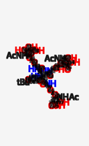 CC(=O)NC1C(OCCOCCNC(=O)CCC(CCC(=O)NCCOCCOC2OC(CO)C(O)C(O)C2NC(C)=O)(CCC(=O)NCCOCCOC2OC(CO)C(O)C(O)C2NC(C)=O)NC(=O)c2ccc(OC(C)(C)C)cc2)CC(CO)C(O)C1O